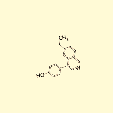 CCc1ccc2cncc(-c3ccc(O)cc3)c2c1